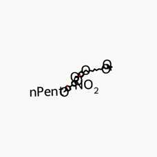 C=C(C)C(=O)OCCCCCCCCOc1ccc(C(=O)Oc2ccc(-c3ccc(OCCCCC)cc3)cc2[N+](=O)[O-])cc1